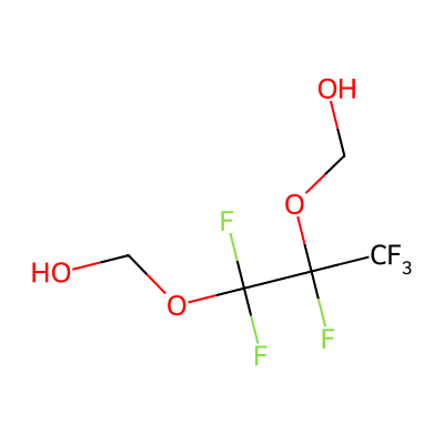 OCOC(F)(F)C(F)(OCO)C(F)(F)F